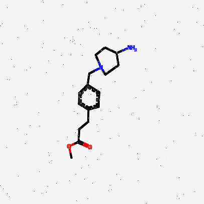 COC(=O)CCc1ccc(CN2CCC(N)CC2)cc1